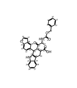 CC(NC(=O)OCc1ccccc1)C(=O)N1C(C(=O)O)Cc2c([nH]c3ccccc23)C1c1ccc2occc2c1